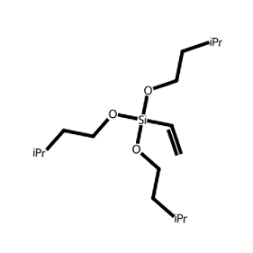 C=C[Si](OCCC(C)C)(OCCC(C)C)OCCC(C)C